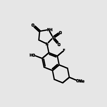 COC1CCc2cc(O)c(N3CC(=O)NS3(=O)=O)c(F)c2C1